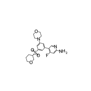 Nc1cc(F)c(-c2cc(N3CCOCC3)cc(S(=O)(=O)[C@@H]3CCCOC3)c2)cn1